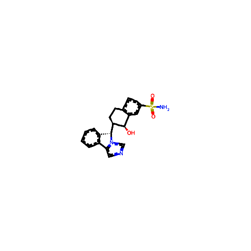 NS(=O)(=O)c1ccc2c(c1)[C@@H](O)[C@@H]([C@H]1c3ccccc3-c3cncn31)CC2